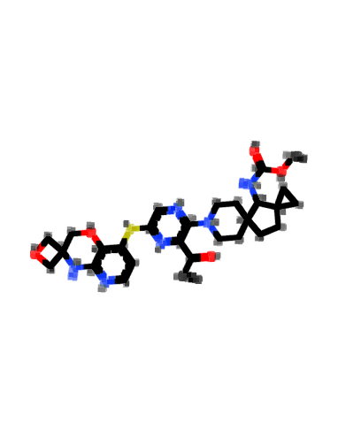 COC(=O)c1nc(Sc2ccnc3c2OCC2(COC2)N3)cnc1N1CCC2(CC1)CCC1(CC1)C2NC(=O)OC(C)(C)C